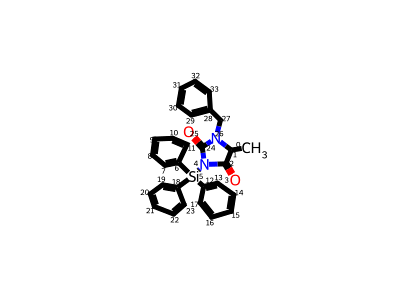 CC1C(=O)N([Si](c2ccccc2)(c2ccccc2)c2ccccc2)C(=O)N1Cc1ccccc1